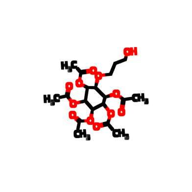 CC(=O)OC1C(OC(C)=O)[C@@H](OCCCO)[C@@H](OC(C)=O)C(OC(C)=O)[C@H]1OC(C)=O